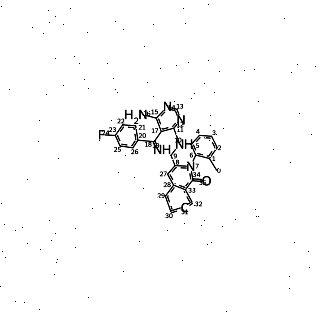 Cc1ccccc1-n1c(CNc2ncnc(N)c2C(=N)c2ccc(F)cc2)cc2ccccc2c1=O